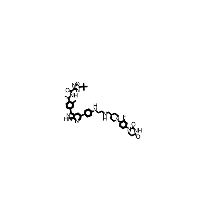 Cc1cc(-c2n[nH]c3ncc(-c4ccc(NCCNCC5CCN(c6ccc(N7CCC(=O)NC7=O)cc6F)CC5)cc4)cc23)ccc1[C@@H](C)NC(=O)c1noc(C(C)(C)C)n1